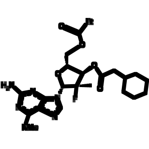 CCC(=O)OC[C@H]1O[C@@H](n2cnc3c(NC)nc(N)nc32)[C@](C)(F)[C@@H]1OC(=O)CC1CCCCC1